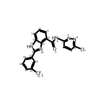 O=C(Nc1ccc(Cl)nn1)c1cccc2[nH]c(-c3cccc(C(F)(F)F)c3)nc12